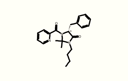 CCCCN1C(=O)[C@@H](Cc2ccccc2)N(C(=O)c2ccccn2)C1(C)C